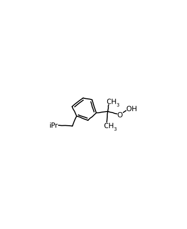 CC(C)Cc1cccc(C(C)(C)OO)c1